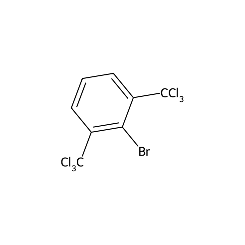 ClC(Cl)(Cl)c1cccc(C(Cl)(Cl)Cl)c1Br